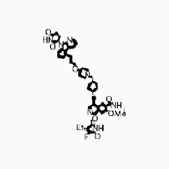 CC[C@@H]1[C@H](F)C(=O)N[C@@H]1COc1ncc(C#C[C@H]2CC[C@H](CN3CCC(OCCCc4cccc5c4c4cccnc4n5C4CCC(=O)NC4=O)CC3)CC2)c2cc(C(N)=O)c(OC)cc12